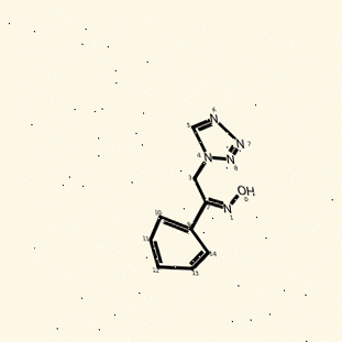 O/N=C(\Cn1cnnn1)c1ccccc1